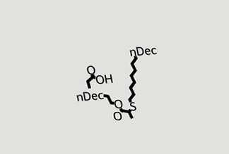 CCC(=O)O.CCCCCCCCCCCCCCCCCCSC(C)C(=O)OCCCCCCCCCCCC